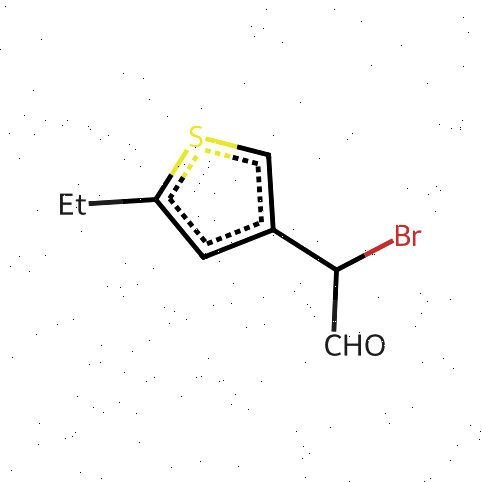 CCc1cc(C(Br)C=O)cs1